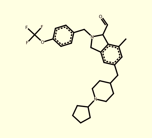 Cc1cc(CC2CCN(C3CCCC3)CC2)cc2c1C(C=O)N(Cc1ccc(OC(F)(F)F)cc1)C2